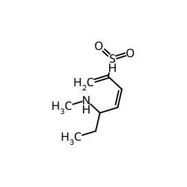 C=C(/C=C\C(CC)NC)[SH](=O)=O